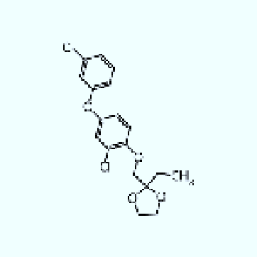 CCC1(COc2ccc(Oc3cccc(Cl)c3)cc2Cl)OCCO1